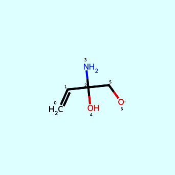 C=CC(N)(O)C[O]